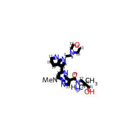 CNc1cc(-c2cn(CCN3CCOCC3)c3ncccc23)nc2c(C(=O)NCC(C)(C)CO)cnn12